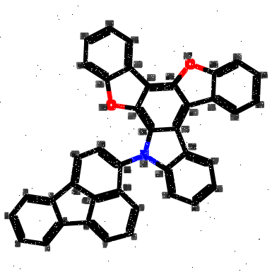 c1ccc2c(c1)-c1cccc3c(-n4c5ccccc5c5c6c7ccccc7oc6c6c7ccccc7oc6c54)ccc-2c13